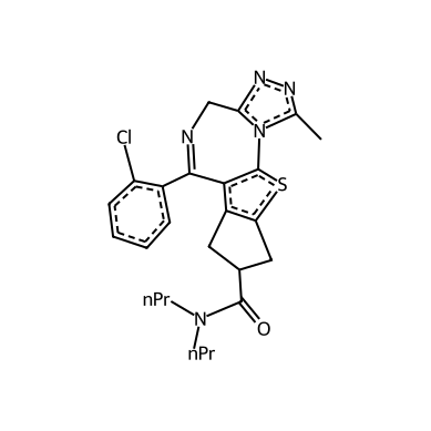 CCCN(CCC)C(=O)C1Cc2sc3c(c2C1)C(c1ccccc1Cl)=NCc1nnc(C)n1-3